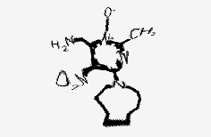 Cc1nc(N2CCCCC2)c([N+](=O)[O-])c(N)[n+]1[O-]